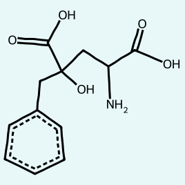 NC(CC(O)(Cc1ccccc1)C(=O)O)C(=O)O